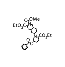 CCOC(=O)C1CC2CC(N3C[C@@H](OC(=O)c4ccccc4)CCC3C(=O)OCC)CCC2CN1C(=O)OC